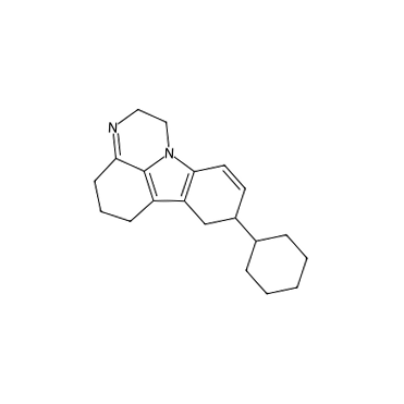 C1=CC(C2CCCCC2)Cc2c3c4n(c21)CCN=C4CCC3